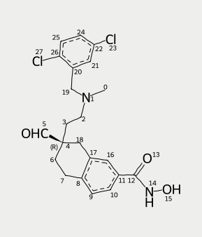 CN(CC[C@@]1(C=O)CCc2ccc(C(=O)NO)cc2C1)Cc1cc(Cl)ccc1Cl